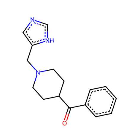 O=C(c1ccccc1)C1CCN(Cc2cnc[nH]2)CC1